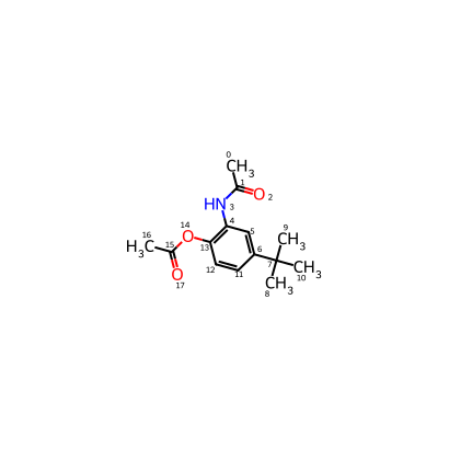 CC(=O)Nc1cc(C(C)(C)C)ccc1OC(C)=O